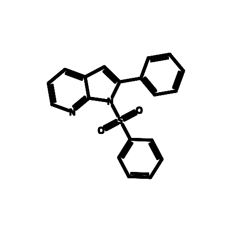 O=S(=O)(c1ccccc1)n1c(-c2ccccc2)cc2cccnc21